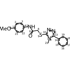 COc1ccc(NC(=O)CSc2nnc(-c3ccccc3)n2C)cc1